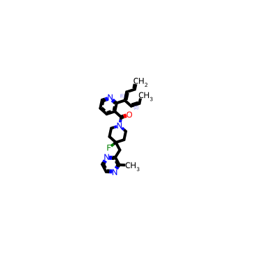 C=C/C=C(\C=C/C)c1ncccc1C(=O)N1CCC(F)(Cc2nccnc2C)CC1